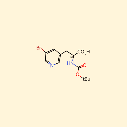 CC(C)(C)OC(=O)N[C@@H](Cc1cncc(Br)c1)C(=O)O